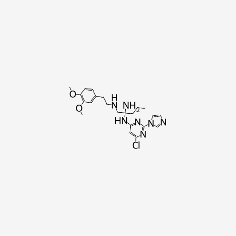 CCCC(N)(CNCCc1ccc(OC)c(OC)c1)Nc1cc(Cl)nc(-n2ccnc2)n1